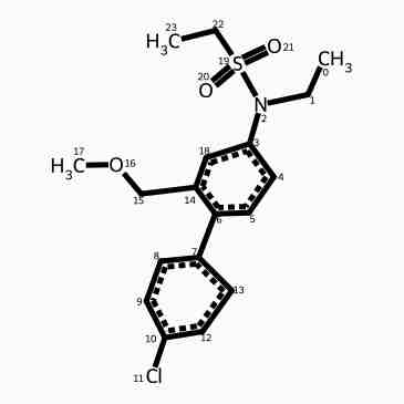 CCN(c1ccc(-c2ccc(Cl)cc2)c(COC)c1)S(=O)(=O)CC